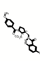 CCCOc1ccc(C(=O)[C@H]2CC[C@@H](Cn3nnc4ccc(C(F)(F)F)cc4c3=O)[C@@H]2C(=O)O)cc1